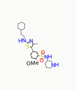 COc1ccc(-c2sc(NCCC3CCCCC3)nc2C)cc1S(=O)(=O)NC1CCCNC1